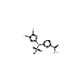 O=C(O)c1csc(N(c2cc(Cl)c(Cl)s2)S(=O)(=O)O)n1